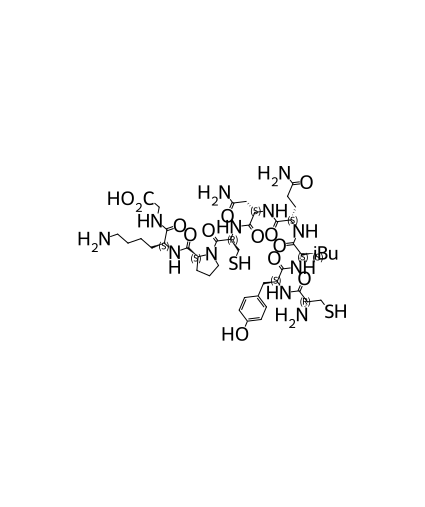 CC[C@H](C)[C@H](NC(=O)[C@H](Cc1ccc(O)cc1)NC(=O)[C@@H](N)CS)C(=O)N[C@@H](CCC(N)=O)C(=O)N[C@@H](CC(N)=O)C(=O)N[C@@H](CS)C(=O)N1CCC[C@H]1C(=O)N[C@@H](CCCCN)C(=O)NCC(=O)O